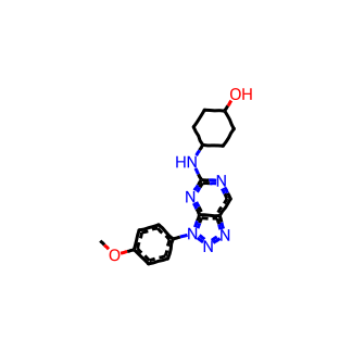 COc1ccc(-n2nnc3cnc(NC4CCC(O)CC4)nc32)cc1